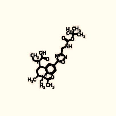 CCN(C(=O)O)[C@@H]1C[C@H](C)[N+](C)(C(C)=O)c2ccc(-c3nc(CNC(=O)OC(C)(C)C)no3)cc21